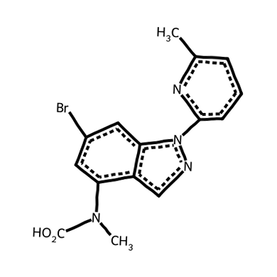 Cc1cccc(-n2ncc3c(N(C)C(=O)O)cc(Br)cc32)n1